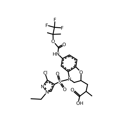 CCn1cc(S(=O)(=O)N2CC(CC(C)C(=O)O)Oc3ccc(NC(=O)OC(C)(C)C(F)(F)F)cc32)c(Cl)n1